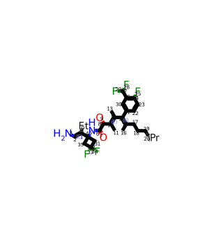 CC/C(=C\N)C1(NC(=O)C(=O)/C(C)=C(C)/C(=C(\C)CCCC(C)C)c2ccc(F)c(C(F)F)c2)CC(F)(F)C1